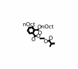 C=C(C)C(=O)OCCOC(=O)c1cccc(CCCCCCCC)c1C(=O)OCCCCCCCC